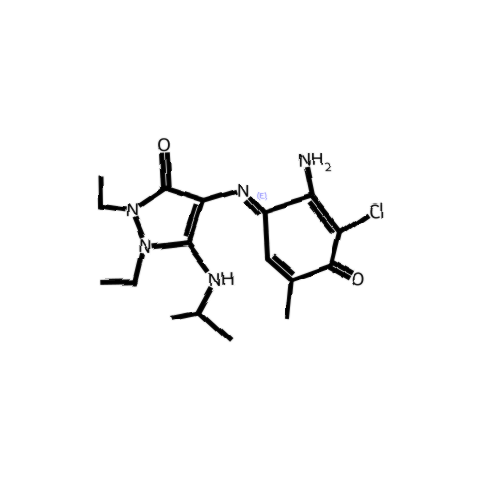 CCn1c(NC(C)C)c(/N=C2\C=C(C)C(=O)C(Cl)=C2N)c(=O)n1CC